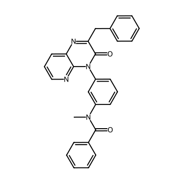 CN(C(=O)c1ccccc1)c1cccc(-n2c(=O)c(Cc3ccccc3)nc3cccnc32)c1